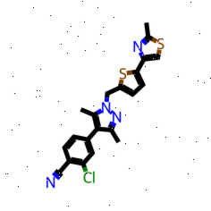 Cc1nc(-c2ccc(Cn3nc(C)c(-c4ccc(C#N)c(Cl)c4)c3C)s2)cs1